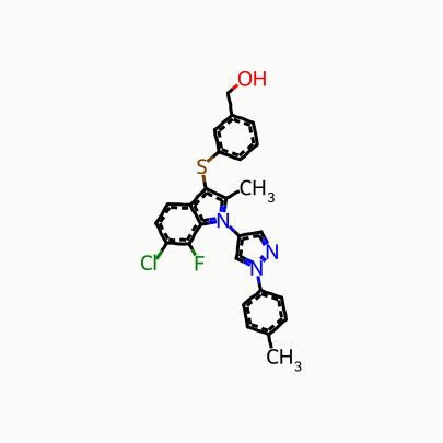 Cc1ccc(-n2cc(-n3c(C)c(Sc4cccc(CO)c4)c4ccc(Cl)c(F)c43)cn2)cc1